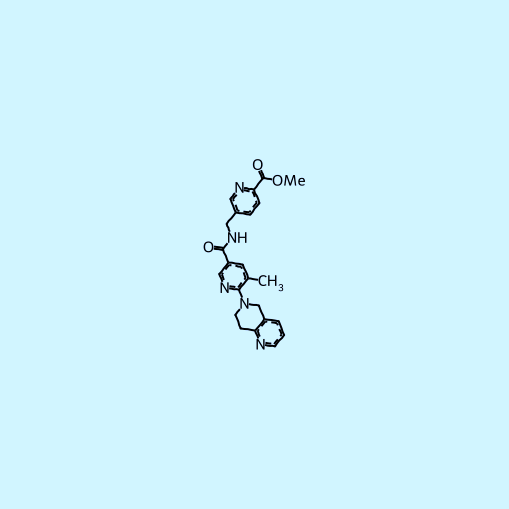 COC(=O)c1ccc(CNC(=O)c2cnc(N3CCc4ncccc4C3)c(C)c2)cn1